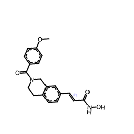 COc1ccc(C(=O)N2CCc3ccc(/C=C/C(=O)NO)cc3C2)cc1